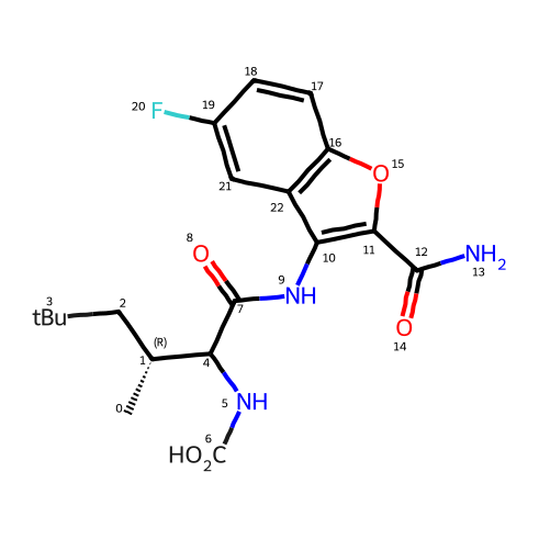 C[C@H](CC(C)(C)C)C(NC(=O)O)C(=O)Nc1c(C(N)=O)oc2ccc(F)cc12